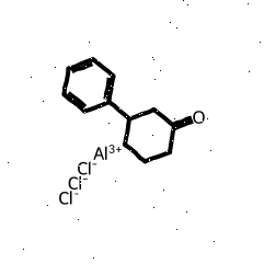 O=C1CCCC(c2ccccc2)C1.[Al+3].[Cl-].[Cl-].[Cl-]